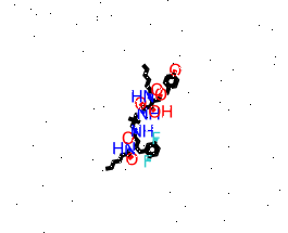 CCCCCC(=O)NC(CC(=O)NCC(C)(C)CNC(=O)C(O)C(COCc1ccc(OC)cc1)NC(=O)CCCCC)Cc1cc(F)ccc1F